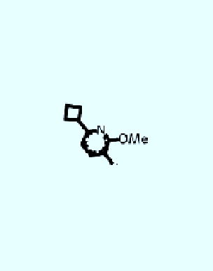 [CH2]c1ccc(C2CCC2)nc1OC